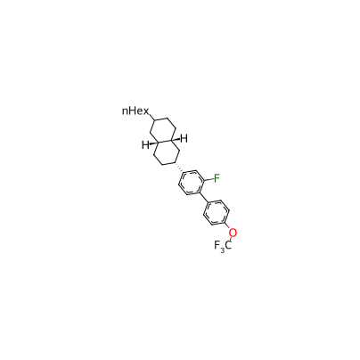 CCCCCCC1CC[C@@H]2C[C@H](c3ccc(-c4ccc(OC(F)(F)F)cc4)c(F)c3)CC[C@@H]2C1